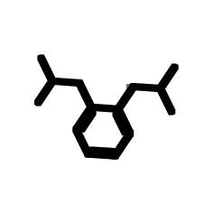 CC(C)[CH]c1ccccc1CC(C)C